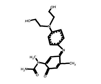 CC1=CC(=O)C(N(C)C(N)=O)=CC1=Nc1ccc(N(CCO)CCO)cc1